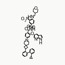 O=C(NS(=O)(=O)c1ccc(NCC2CCOCC2)c([N+](=O)[O-])c1)c1ccc(N2CCC3(CC2)CC(c2ccccc2-c2ccccc2C2CC2)C3)cc1Oc1cnc2[nH]ccc2c1